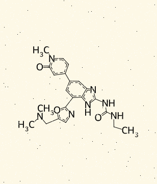 CCNC(=O)Nc1nc2cc(-c3ccn(C)c(=O)c3)cc(-c3ncc(CN(C)C)o3)c2[nH]1